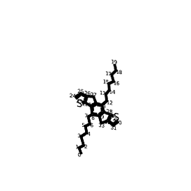 CCCCCCCCc1c2c(c(CCCCCCCC)c3c1-c1sccc1C3)-c1sccc1C2